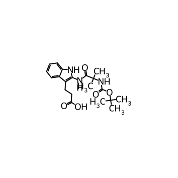 CC(C)(C)OC(=O)NC(C)(C)C(=O)Nc1[nH]c2ccccc2c1CCC(=O)O